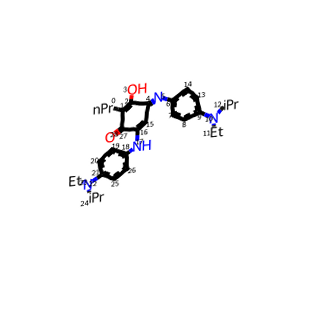 CCCC1=C(O)C(=Nc2ccc(N(CC)C(C)C)cc2)C=C(Nc2ccc(N(CC)C(C)C)cc2)C1=O